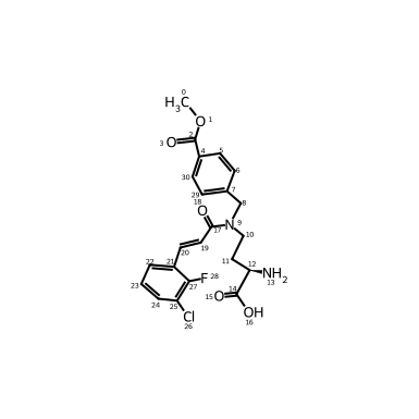 COC(=O)c1ccc(CN(CC[C@@H](N)C(=O)O)C(=O)/C=C/c2cccc(Cl)c2F)cc1